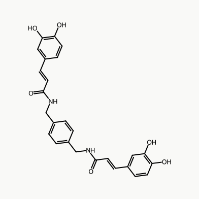 O=C(C=Cc1ccc(O)c(O)c1)NCc1ccc(CNC(=O)/C=C/c2ccc(O)c(O)c2)cc1